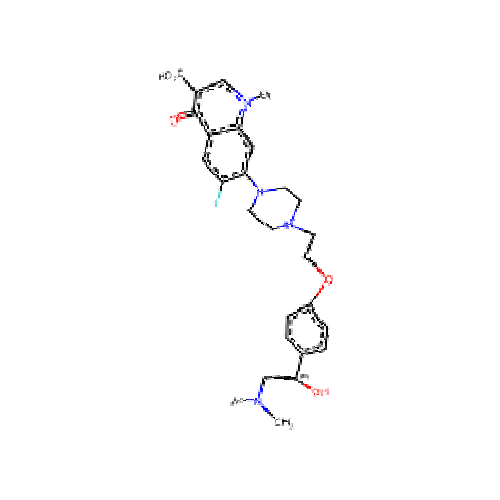 CCn1cc(C(=O)O)c(=O)c2cc(F)c(N3CCN(CCOc4ccc([C@@H](O)CN(C)C(C)=O)cc4)CC3)cc21